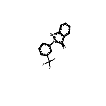 O=c1c2ccccc2[se]n1-c1cccc(C(F)(F)F)c1